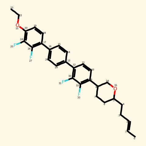 C/C=C/CCC1CCC(c2ccc(-c3ccc(-c4ccc(OCC)c(F)c4F)cc3)c(F)c2F)CO1